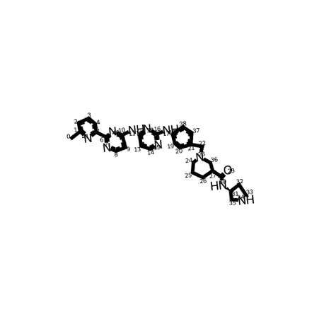 Cc1cccc(-c2nccc(Nc3ccnc(Nc4ccc(CN5CCCC(C(=O)N[C@H]6CCNC6)C5)cc4)n3)n2)n1